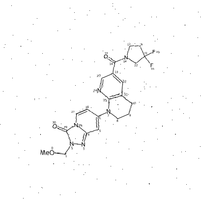 COCn1nc2cc(N3CCCc4cc(C(=O)N5CCC(F)(F)C5)cnc43)ccn2c1=O